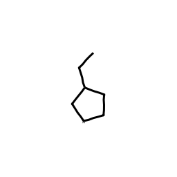 CCC1C[C]CC1